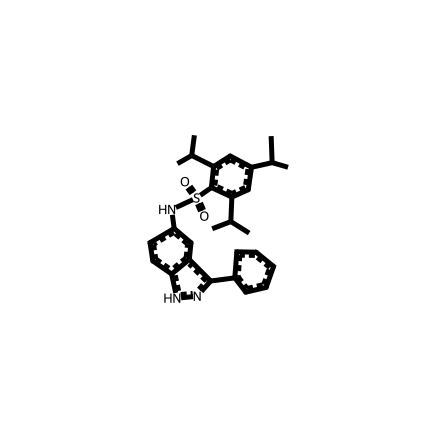 CC(C)c1cc(C(C)C)c(S(=O)(=O)Nc2ccc3[nH]nc(-c4ccccc4)c3c2)c(C(C)C)c1